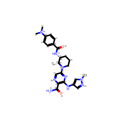 CCn1cc(Nc2nc(N3CCC[C@@H](NC(=O)c4ccc(N(C)C)cc4)[C@H]3C)cnc2C(N)=O)cn1